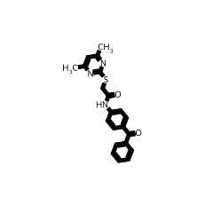 Cc1cc(C)nc(SCC(=O)Nc2ccc(C(=O)c3ccccc3)cc2)n1